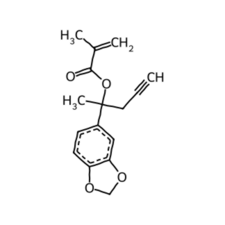 C#CCC(C)(OC(=O)C(=C)C)c1ccc2c(c1)OCO2